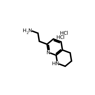 Cl.Cl.NCCc1ccc2c(n1)NCCC2